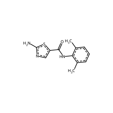 Cc1cccc(C)c1NC(=O)c1cnc(N)s1